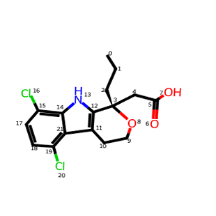 CCC[C@@]1(CC(=O)O)OCCc2c1[nH]c1c(Cl)ccc(Cl)c21